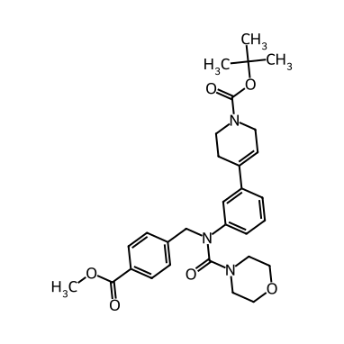 COC(=O)c1ccc(CN(C(=O)N2CCOCC2)c2cccc(C3=CCN(C(=O)OC(C)(C)C)CC3)c2)cc1